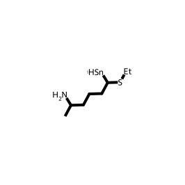 CCS[CH]([SnH])CCCC(C)N